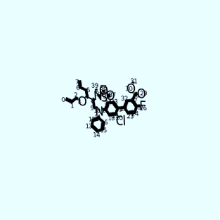 C=CCOC(CC=C)[C@@H]1CN(c2ccccc2)c2cc(Cl)c(-c3ccc(F)c(C(=O)OC)c3)cc2S(=O)(=O)N1C